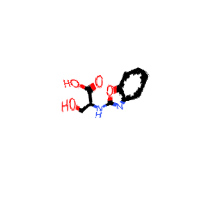 O=C(O)C(CO)Nc1nc2ccccc2o1